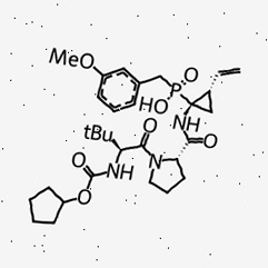 C=C[C@@H]1C[C@]1(NC(=O)[C@@H]1CCCN1C(=O)[C@@H](NC(=O)OC1CCCC1)C(C)(C)C)P(=O)(O)Cc1cccc(OC)c1